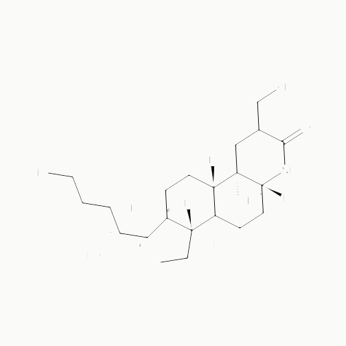 CC(C)CCC[C@@H](C)[C@H]1CC[C@H]2[C@@H]3CC[C@H]4NC(=O)C(CCl)C[C@]4(C)[C@H]3CC[C@]12C